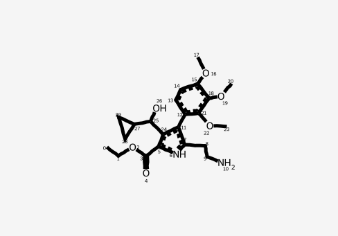 CCOC(=O)c1[nH]c(CCN)c(-c2ccc(OC)c(OC)c2OC)c1C(O)C1CC1